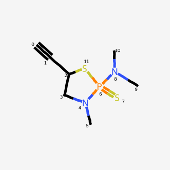 C#CC1CN(C)P(=S)(N(C)C)S1